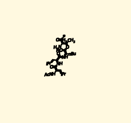 CCCC[C@H](NC(=O)[C@H](CC(C)C)NC(=O)[C@H](CC(C)C)NC(C)=O)C(O)O[C@H](C)[C@H](N)C(=O)P